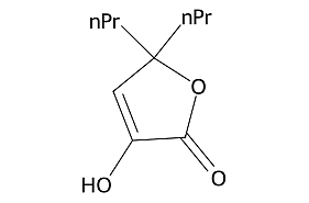 CCCC1(CCC)C=C(O)C(=O)O1